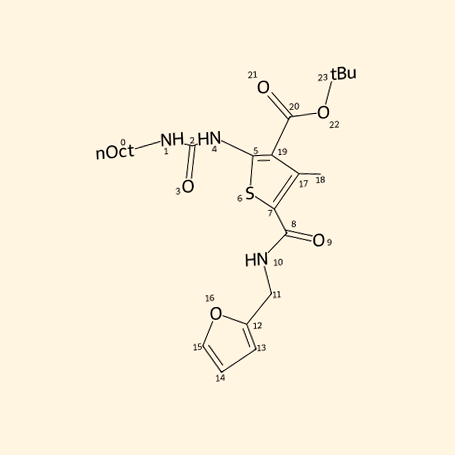 CCCCCCCCNC(=O)Nc1sc(C(=O)NCc2ccco2)c(C)c1C(=O)OC(C)(C)C